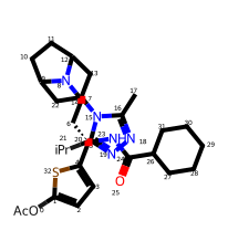 CC(=O)Oc1ccc([C@H](CCN2C3CCC2CC(n2c(C)nnc2C(C)C)C3)NC(=O)C2CCCCC2)s1